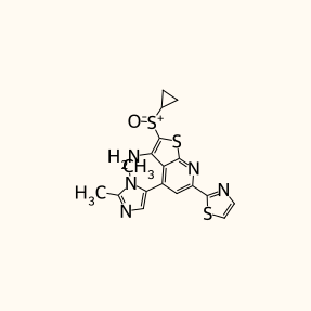 Cc1ncc(-c2cc(-c3nccs3)nc3sc([S+]([O-])C4CC4)c(N)c23)n1C